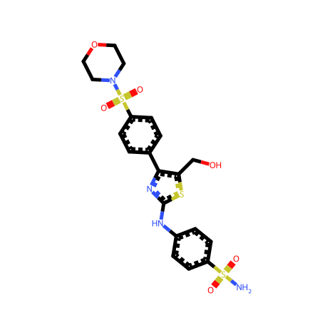 NS(=O)(=O)c1ccc(Nc2nc(-c3ccc(S(=O)(=O)N4CCOCC4)cc3)c(CO)s2)cc1